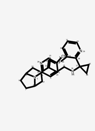 N#Cc1ccc(N2C3CCC2CN(C(=O)CCNC2(c4ncccc4F)CC2)C3)nc1